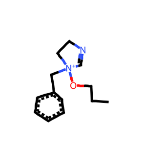 CCCO[N+]1(Cc2ccccc2)C=NCC1